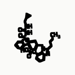 CCCCc1nc2cccc(OC(=O)O)c2n1Cc1ccc(-c2ccccc2S(=O)(=O)NC(=O)NCC2CC2)cc1